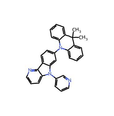 CC1(C)c2ccccc2N(c2ccc3c4ncccc4n(-c4cccnc4)c3c2)c2ccccc21